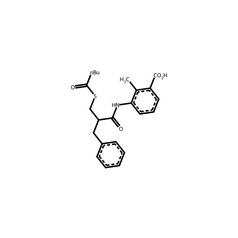 CCCCC(=O)SCC(Cc1ccccc1)C(=O)Nc1cccc(C(=O)O)c1C